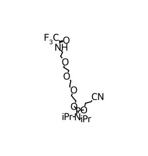 CC(C)N(C(C)C)P(OCCC#N)OCCOCCOCCOCCNC(=O)C(F)(F)F